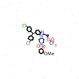 COc1cccc(S(=O)(=O)N2CCC(n3c(C4CC4OC(=O)C(F)(F)F)nc4ccc(C(c5ccc(Cl)cc5)c5ccc(Cl)cc5)cc43)CC2)c1